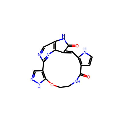 O=C1Nc2cnc3nc2/C1=C/c1[nH]ccc1C(=O)NCCOc1[nH]ncc1-3